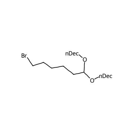 CCCCCCCCCCOC(CCCCCBr)OCCCCCCCCCC